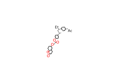 CCC(CC(C)c1ccc(OC(=O)COc2ccc3oc(=O)ccc3c2)cc1)c1ccc(CC(C)=O)cc1